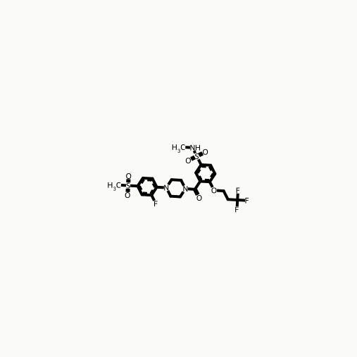 CNS(=O)(=O)c1ccc(OCCC(F)(F)F)c(C(=O)N2CCN(c3ccc(S(C)(=O)=O)cc3F)CC2)c1